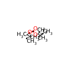 CC[Si](C)(C)OC(=O)O[Si](C)(C)CC